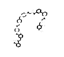 CCOc1cc(OC)ccc1CNCC(=O)N1CCCC(c2cccc(C(=O)NCC(=O)N3CCN(CC4CCN(CC(=O)N5CCN(C(=O)c6cc(Cc7n[nH]c(=O)c8ccccc78)ccc6F)CC5)CC4)CC3)c2)C1